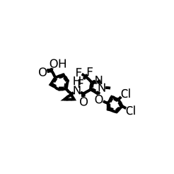 Cn1nc(C(F)(F)F)c(C(=O)NC2(c3ccc(C(=O)O)cc3)CC2)c1Oc1ccc(Cl)c(Cl)c1